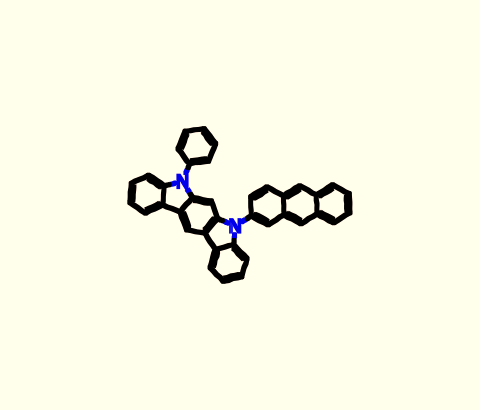 c1ccc(-n2c3ccccc3c3cc4c5ccccc5n(-c5ccc6cc7ccccc7cc6c5)c4cc32)cc1